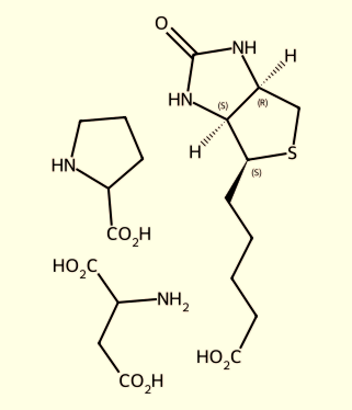 NC(CC(=O)O)C(=O)O.O=C(O)C1CCCN1.O=C(O)CCCC[C@@H]1SC[C@@H]2NC(=O)N[C@@H]21